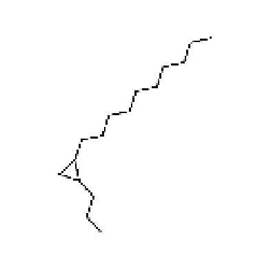 CCCCCCCCCCC1CC1CCC